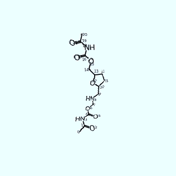 CC(=O)NC(=O)OCNCC1CCC(COC(=O)NC(C)=O)O1